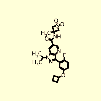 CC(C)n1nc(-c2cc(OC3CCC3)ccc2F)c2ncc(C(=O)NC3(C)CS(=O)(=O)C3)cc21